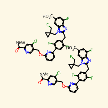 CNC(=O)c1cc(Cl)c(COc2cccc(-c3cc(F)c(Cc4nc5c(F)cc(C(=O)O)cc5n4CC4(CF)CC4)cc3F)n2)cn1.CNC(=O)c1cc(Cl)c(COc2cccc(-c3cc(F)c(Cc4nc5c(F)cc(C(=O)O)cc5n4CC4(CF)CC4)cc3F)n2)cn1